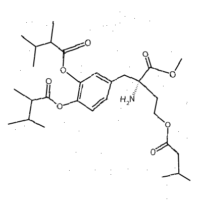 COC(=O)[C@@](N)(CCOC(=O)CC(C)C)Cc1ccc(OC(=O)C(C)C(C)C)c(OC(=O)C(C)C(C)C)c1